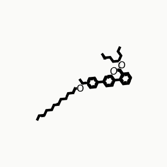 CCCCCCCCCCCCOC(C)c1ccc(-c2ccc(-c3ccccc3C(=O)OC(CCC)CCCC)cc2)cc1